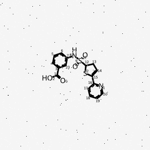 O=C(O)c1cccc(NS(=O)(=O)C2CC=C(c3ccccn3)S2)c1